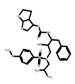 COc1ccc(S(=O)(=O)N(CC(C)C)CC(O)C(Cc2ccccc2)NC(=O)OC2COC3OCCC23)cc1